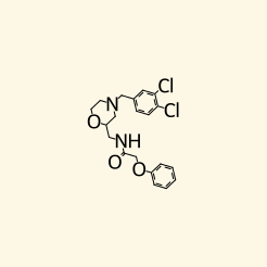 O=C(COc1ccccc1)NCC1CN(Cc2ccc(Cl)c(Cl)c2)CCO1